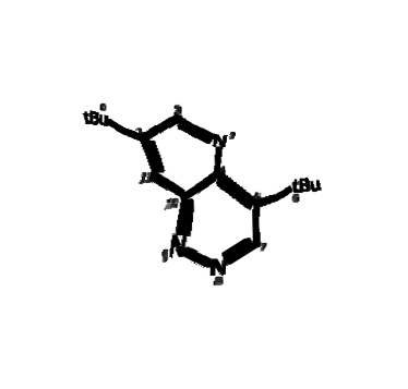 CC(C)(C)c1cnc2c(C(C)(C)C)cnnc2c1